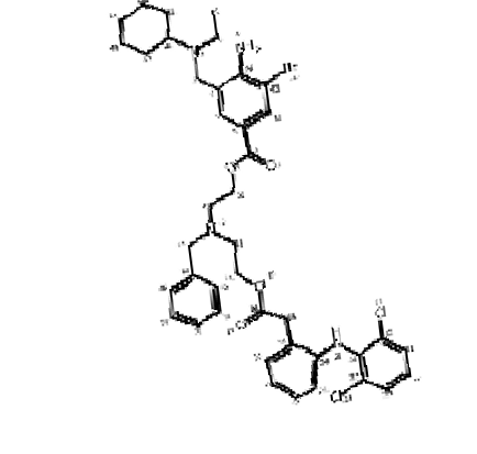 CCN(Cc1cc(C(=O)OCCN(CCOC(=O)Cc2ccccc2Nc2c(Cl)cccc2Cl)Cc2ccccc2)cc(Br)c1N)C1CCCCC1